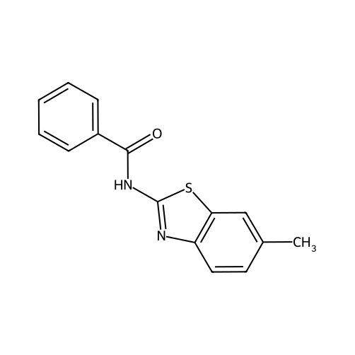 Cc1ccc2nc(NC(=O)c3ccccc3)sc2c1